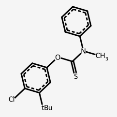 CN(C(=S)Oc1ccc(Cl)c(C(C)(C)C)c1)c1ccccc1